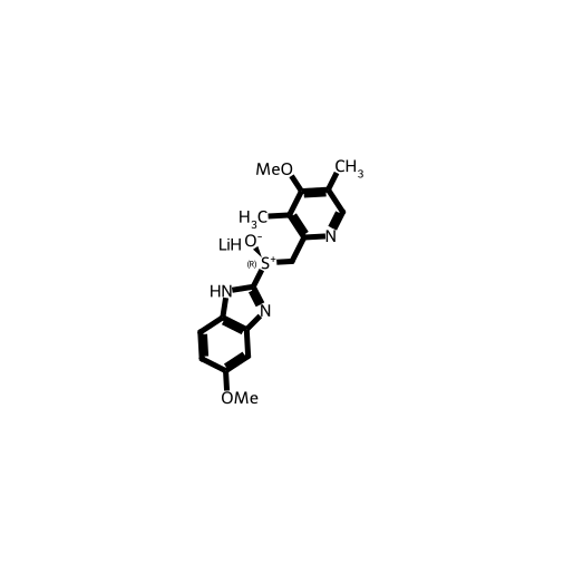 COc1ccc2[nH]c([S@@+]([O-])Cc3ncc(C)c(OC)c3C)nc2c1.[LiH]